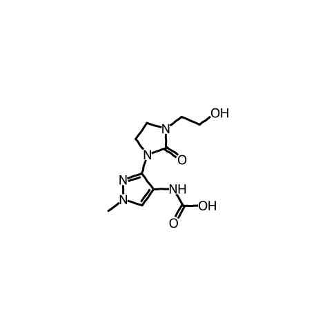 Cn1cc(NC(=O)O)c(N2CCN(CCO)C2=O)n1